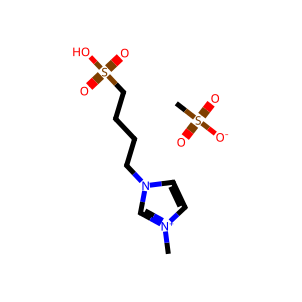 CS(=O)(=O)[O-].C[n+]1ccn(CCCCS(=O)(=O)O)c1